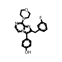 Oc1ccc(-c2c(Cc3cccc(F)c3)nc3c(N4CCOCC4)nccn23)cc1